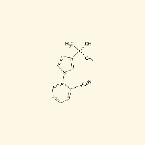 CC(C)(O)c1ccn(-c2ccccc2C#N)c1